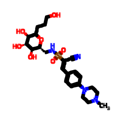 CN1CCN(c2ccc(/C=C(\C#N)S(=O)(=O)NC[C@H]3OC(CCCO)[C@H](O)[C@@H](O)[C@@H]3O)cc2)CC1